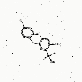 CC(C)(O)c1cc2c(cc1N)Oc1cc(Cl)ccc1O2